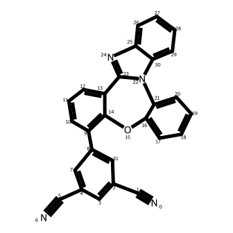 N#Cc1cc(C#N)cc(-c2cccc3c2Oc2ccccc2-n2c-3nc3ccccc32)c1